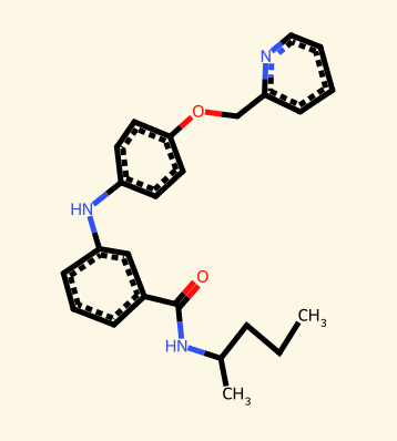 CCCC(C)NC(=O)c1cccc(Nc2ccc(OCc3ccccn3)cc2)c1